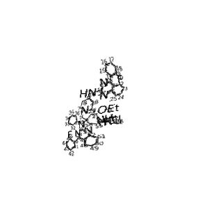 CCOC1CC(CN2CCC(Nc3nc(-c4ccccc4F)c4ccccc4n3)CC2)(N(c2ccccc2)c2nc(-c3ccccc3F)c3ccccc3n2)CCN1.Cl.Cl